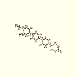 CC1CCC(c2ccc(-c3ccc(-c4ccc(C#N)c(F)c4)cc3)cc2)CC1